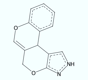 C1=C2COc3n[nH]cc3C2c2ccccc2O1